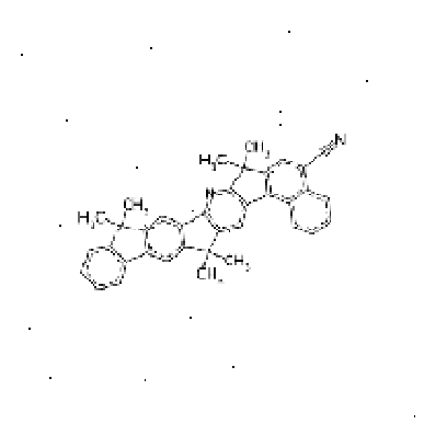 CC1(C)c2ccccc2-c2cc3c(cc21)-c1nc2c(cc1C3(C)C)-c1c(cc(C#N)c3ccccc13)C2(C)C